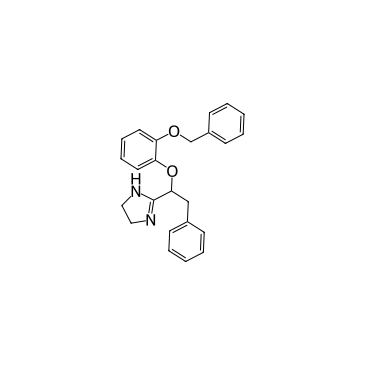 c1ccc(COc2ccccc2OC(Cc2ccccc2)C2=NCCN2)cc1